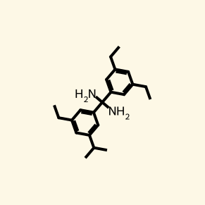 CCc1cc(CC)cc(C(N)(N)c2cc(CC)cc(C(C)C)c2)c1